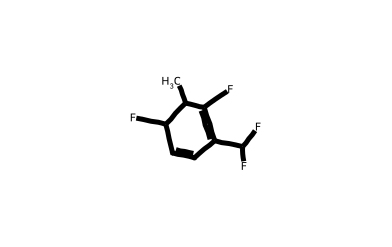 C[C]1C(F)=C(C(F)F)C=CC1F